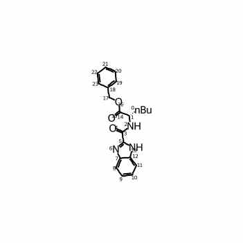 CCCC[C@H](NC(=O)c1nc2ccccc2[nH]1)C(=O)OCc1ccccc1